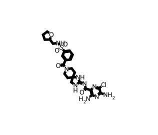 Nc1nc(N)c(C(=O)/N=C2\NCC3(CCN(C(=O)c4cccc(S(=O)(=O)NCC5CCCO5)c4)CC3)N2)nc1Cl